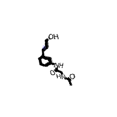 CC(=O)NCC(=O)Nc1cccc(/C=C/CO)c1